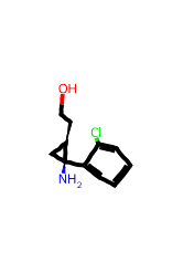 N[C@@]1(c2ccccc2Cl)C[C@H]1CCO